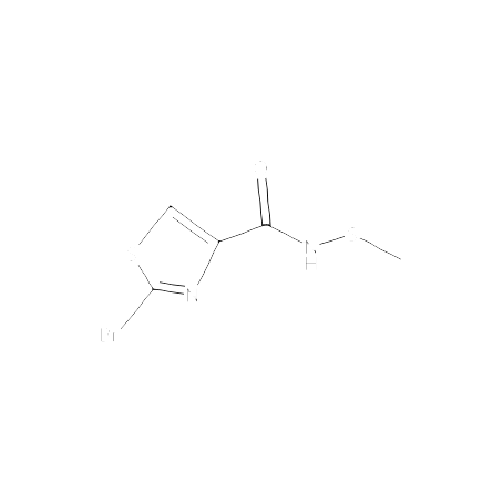 CSNC(=O)c1csc(Br)n1